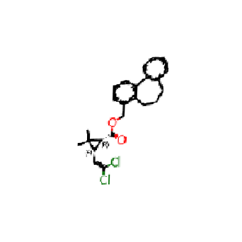 CC1(C)[C@H](C=C(Cl)Cl)[C@H]1C(=O)OCc1cccc2c1CCCc1ccccc1-2